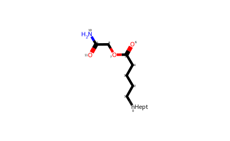 CCCCCCCCCCCC(=O)OCC(N)=O